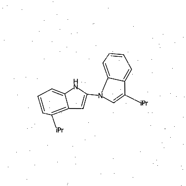 CC(C)c1cccc2[nH]c(-n3cc(C(C)C)c4ccccc43)cc12